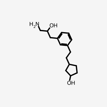 NCC(O)Cc1cccc(CCC2CCC(O)C2)c1